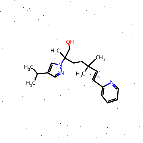 CC(C)c1cnn(C(C)(CO)CCC(C)(C)/C=C/c2ccccn2)c1